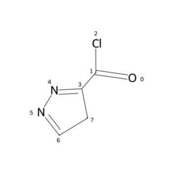 O=C(Cl)C1=NN=CC1